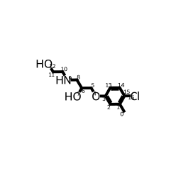 Cc1cc(OCC(O)CNCCO)ccc1Cl